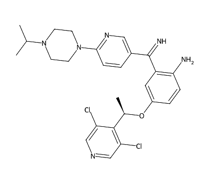 CC(C)N1CCN(c2ccc(C(=N)c3cc(O[C@H](C)c4c(Cl)cncc4Cl)ccc3N)cn2)CC1